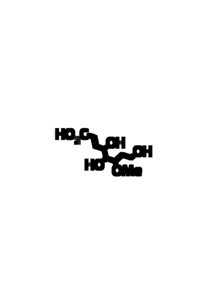 COC(CCO)C(O)[C@H](O)/C=C/C(=O)O